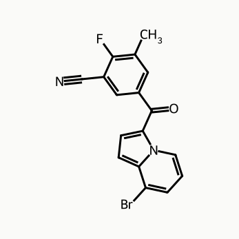 Cc1cc(C(=O)c2ccc3c(Br)cccn23)cc(C#N)c1F